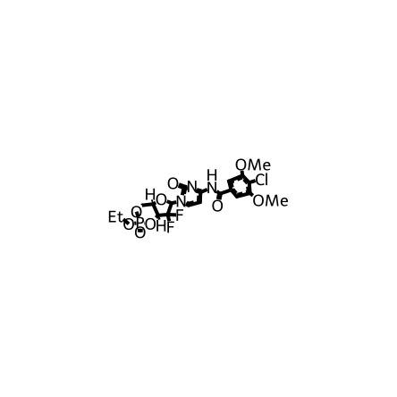 CCOP1(=O)OC[C@H]2OC(n3ccc(NC(=O)c4cc(OC)c(Cl)c(OC)c4)nc3=O)C(F)(F)[C@@H]2O1